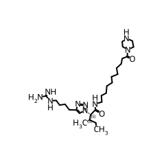 CC[C@H](C)[C@@H](C(=O)NCCCCCCCCCCC(=O)N1CCNCC1)n1cc(CCCCNC(=N)N)nn1